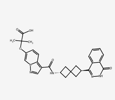 CC(C)(Oc1ccc2c(C(=O)N[C@H]3CC4(C3)C[C@H](c3n[nH]c(=O)c5ccccc53)C4)cnn2c1)C(=O)O